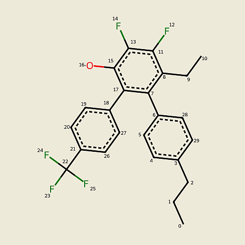 CCCc1ccc(-c2c(CC)c(F)c(F)c([O])c2-c2ccc(C(F)(F)F)cc2)cc1